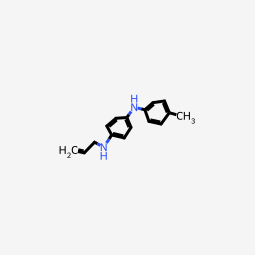 C=CCNc1ccc(Nc2ccc(C)cc2)cc1